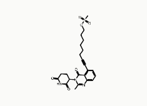 Cc1nc2cccc(C#CCCCCCCOS(C)(=O)=O)c2c(=O)n1C1CCC(=O)NC1=O